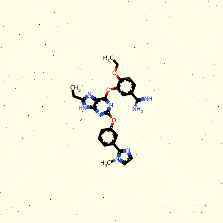 CCOc1ccc(C(=N)N)cc1Oc1nc(Oc2cccc(-c3nccn3C)c2)nc2[nH]c(CC)nc12